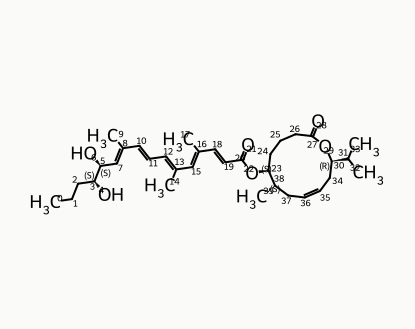 CCC[C@H](O)[C@@H](O)C=C(C)C=CC=C(C)C=C(C)C=CC(=O)O[C@H]1CCCC(=O)O[C@@H](C(C)C)CC=CC[C@@H]1C